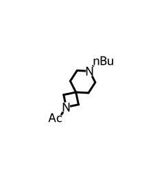 CCCCN1CCC2(CC1)CN(C(C)=O)C2